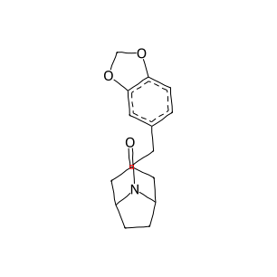 O=C1CC2CCC(C1)N2CCc1ccc2c(c1)OCO2